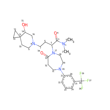 CN(C)C(=O)C(CCN1CCC2(CC2)C(O)C1)N1CCN(c2cccc(C(F)(F)F)c2)CCC1=O